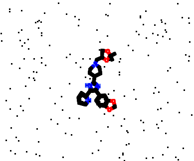 CC1(C)OCC(CN2CCC(c3nc(-c4ccc5c(c4)OCO5)c(-c4ccccn4)[nH]3)CC2)O1